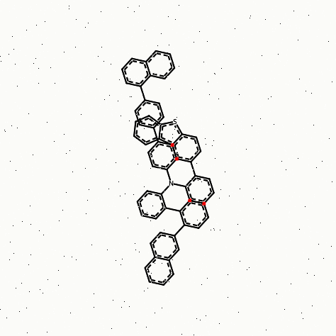 c1ccc(-c2ccccc2N(c2ccc(-c3ccc(-c4cccc5ccccc45)cc3)cc2)c2ccccc2-c2ccc3sc4ccccc4c3c2)c(-c2ccc3ccccc3c2)c1